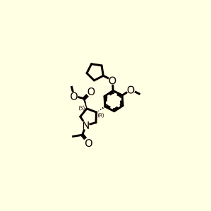 COC(=O)[C@@H]1CN(C(C)=O)C[C@H]1c1ccc(OC)c(OC2CCCC2)c1